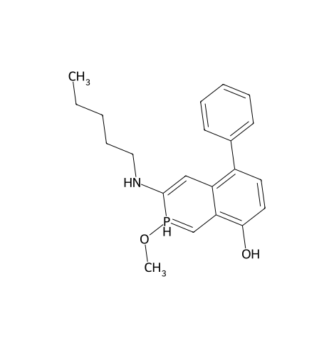 CCCCCNC1=Cc2c(-c3ccccc3)ccc(O)c2C=[PH]1OC